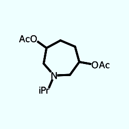 CC(=O)OC1CCC(OC(C)=O)CN(C(C)C)C1